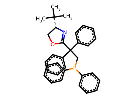 CC(C)(C)[C@H]1COC(C(CP(c2ccccc2)c2ccccc2)(c2ccccc2)c2ccccc2)=N1